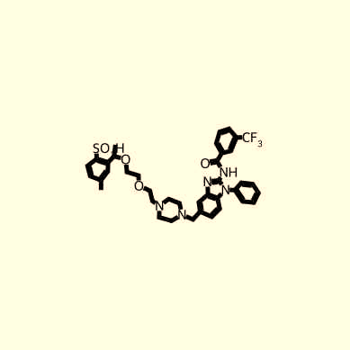 Cc1ccc(S(=O)(=O)O)c(C(C)OCCOCCN2CCN(Cc3ccc4c(c3)nc(NC(=O)c3cccc(C(F)(F)F)c3)n4-c3ccccc3)CC2)c1